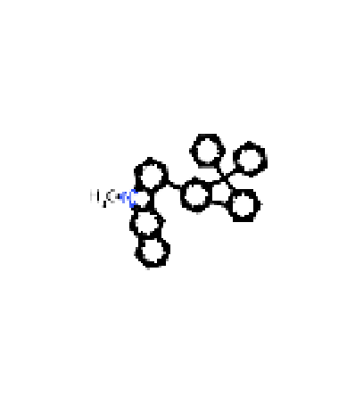 Cn1c2cc3ccccc3cc2c2c(-c3ccc4c(c3)C(c3ccccc3)(c3ccccc3)c3ccccc3-4)cccc21